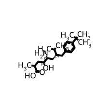 CC(C[C@H](O)[C@@H](N)C[C@H](Cc1ccc(C(C)(C)C)cc1)C(C)C)C(=O)O